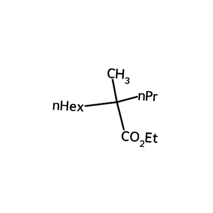 CCCCCCC(C)(CCC)C(=O)OCC